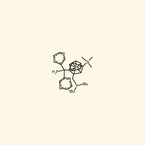 CC(C)(C)P(C[C]12[CH]3[C]4([Si](C)(C)C)[CH]5[C]1(C(P)(c1cnccn1)c1cnccn1)[Fe]35241678[CH]2[CH]1[CH]6[CH]7[CH]28)C(C)(C)C